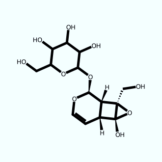 OCC1OC(O[C@@H]2OC=C[C@@H]3[C@H]2[C@@]2(CO)O[C@]32O)C(O)C(O)C1O